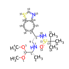 COC(OC)[C@@H](C)NC[C@@H](N[S+]([O-])C(C)(C)C)c1ccc2scnc2c1